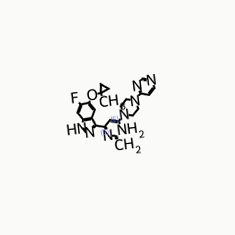 C=C/N=C(\C=C(/N)N1CCN(c2ccncn2)CC1)c1n[nH]c2cc(F)c(OC3(C)CC3)cc12